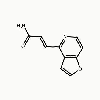 NC(=O)C=Cc1nccc2occc12